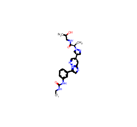 CC(O)CNC(=O)C(C)n1cc(-c2cnn3c(-c4cccc(NC(=O)NCC(F)(F)F)c4)cnc3c2)cn1